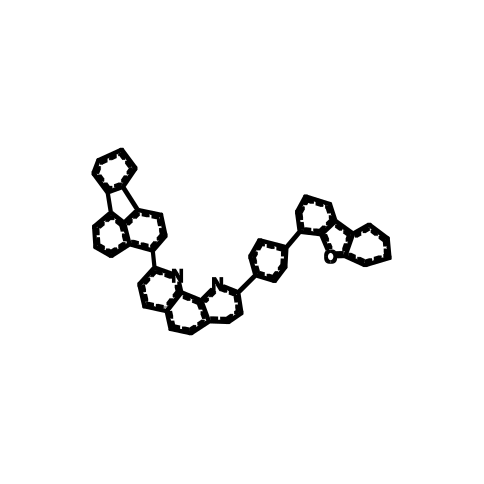 c1ccc2c(c1)-c1cccc3c(-c4ccc5ccc6ccc(-c7ccc(-c8cccc9c8oc8ccccc89)cc7)nc6c5n4)ccc-2c13